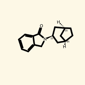 O=C1c2ccccc2CN1[C@@H]1C[C@@H]2CC[C@@H](C2)C1